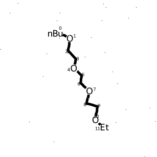 CCCCO[CH]COCCOCCOCC